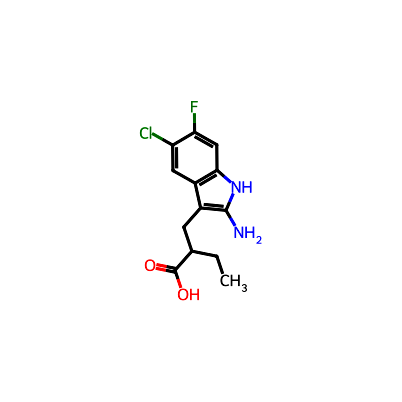 CCC(Cc1c(N)[nH]c2cc(F)c(Cl)cc12)C(=O)O